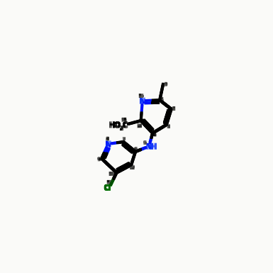 Cc1ccc(Nc2cncc(Cl)c2)c(C(=O)O)n1